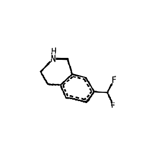 FC(F)c1ccc2c(c1)CNCC2